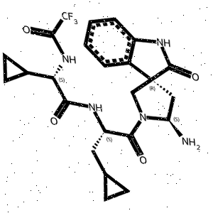 N[C@@H]1C[C@@]2(CN1C(=O)[C@H](CC1CC1)NC(=O)[C@@H](NC(=O)C(F)(F)F)C1CC1)C(=O)Nc1ccccc12